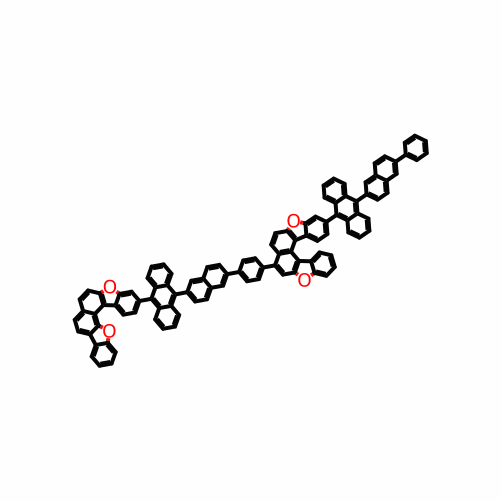 c1ccc(-c2ccc3cc(-c4c5ccccc5c(-c5ccc6c(c5)oc5ccc7c(-c8ccc(-c9ccc%10cc(-c%11c%12ccccc%12c(-c%12ccc%13c(c%12)oc%12ccc%14ccc%15c%16ccccc%16oc%15c%14c%12%13)c%12ccccc%11%12)ccc%10c9)cc8)cc8oc9ccccc9c8c7c56)c5ccccc45)ccc3c2)cc1